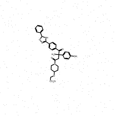 CCOC(=O)COC1CCN(C(=O)CC(N)(C(=O)c2ccc(C3=NOC(c4ccccc4)N3)cc2)c2ccc(O)cc2)CC1